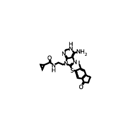 NC1=c2nc(Sc3cc4c(cc3I)CCC4=O)n(CCNC(=O)C3CC3)c2=NCN1